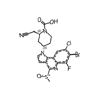 C[S+]([O-])c1nc2c(F)c(Br)c(Cl)cc2c2c1ccn2[C@H]1CCN(C(=O)O)[C@H](CC#N)C1